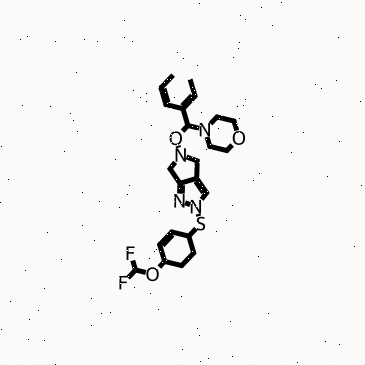 C/C=C\C(=C/C)C(ON1Cc2cn(SC3C=CC(OC(F)F)CC3)nc2C1)N1CCOCC1